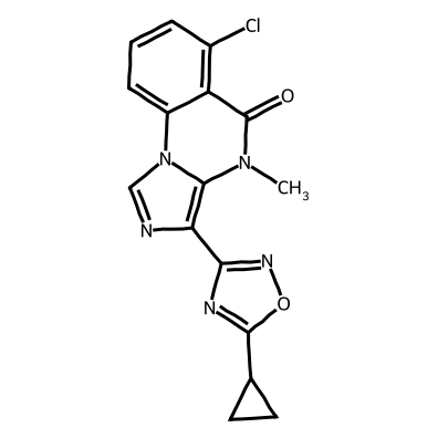 Cn1c(=O)c2c(Cl)cccc2n2cnc(-c3noc(C4CC4)n3)c12